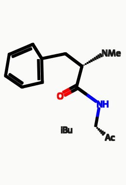 CC[C@H](C)[C@H](NC(=O)[C@H](Cc1ccccc1)NC)C(C)=O